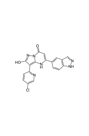 O=c1cc(-c2ccc3[nH]ncc3c2)[nH]c2c(-c3ccc(Cl)cn3)c(O)nn12